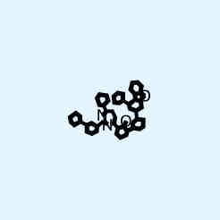 C1=C(c2cccc3c2oc2c(-c4cc(-c5ccccc5)c5c(c4)oc4ccccc45)cccc23)N=C(c2cccc(-c3ccccc3)c2)N=C(c2ccccc2)C1